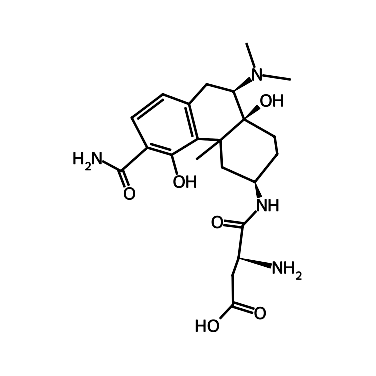 CN(C)[C@@H]1Cc2ccc(C(N)=O)c(O)c2C2(C)C[C@H](NC(=O)[C@@H](N)CC(=O)O)CC[C@@]12O